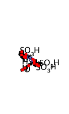 C#CCNC(=O)CCCCCN1\C(=C/C=C/C=C/C2=[N+](CC)c3ccc4c(C)cc(S(=O)(=O)O)cc4c3C2(C)C)C(C)(C)c2c1ccc1c(S(=O)(=O)O)cc(S(=O)(=O)O)cc21